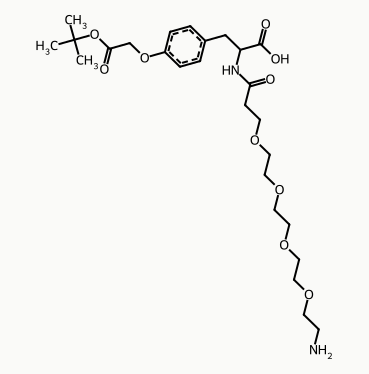 CC(C)(C)OC(=O)COc1ccc(CC(NC(=O)CCOCCOCCOCCOCCN)C(=O)O)cc1